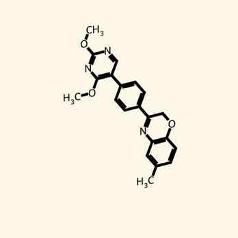 COc1ncc(-c2ccc(C3=Nc4cc(C)ccc4OC3)cc2)c(OC)n1